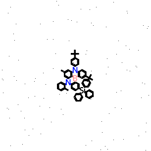 Cc1cc2c3c(c1)N(c1ccccc1C)c1ccc([Si](c4ccccc4)(c4ccccc4)c4ccccc4)cc1B3c1cc(C(C)(C)C)ccc1N2c1ccc(C(C)(C)C)cc1